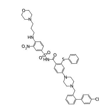 O=C(NS(=O)(=O)c1ccc(NCCCN2CCOCC2)c([N+](=O)[O-])c1)c1ccc(N2CCN(Cc3ccccc3-c3ccc(Cl)cc3)CC2)cc1Sc1ccccc1